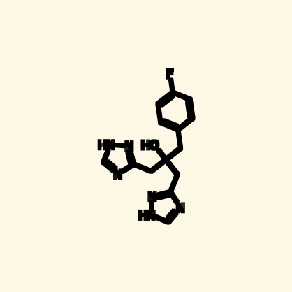 OC(Cc1ccc(F)cc1)(Cc1nc[nH]n1)Cc1nc[nH]n1